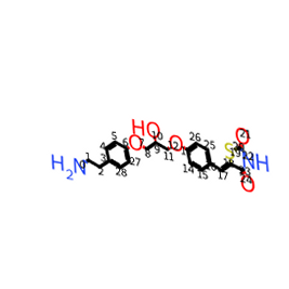 NCCc1ccc(OC[C@@H](O)COc2ccc(/C=C3\SC(=O)NC3=O)cc2)cc1